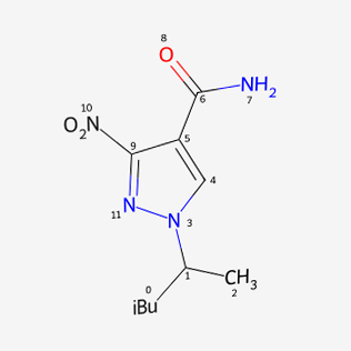 CCC(C)C(C)n1cc(C(N)=O)c([N+](=O)[O-])n1